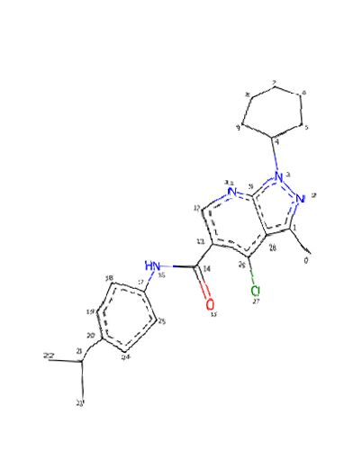 Cc1nn(C2CCCCC2)c2ncc(C(=O)Nc3ccc(C(C)C)cc3)c(Cl)c12